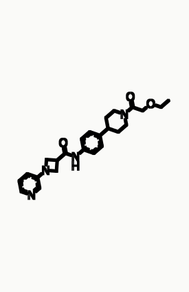 CCOCC(=O)N1CCC(c2ccc(NC(=O)C3CN(c4cccnc4)C3)cc2)CC1